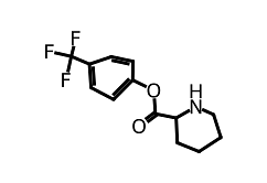 O=C(Oc1ccc(C(F)(F)F)cc1)C1CCCCN1